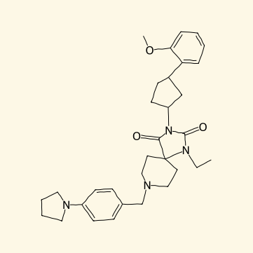 CCN1C(=O)N(C2CCC(c3ccccc3OC)C2)C(=O)C12CCN(Cc1ccc(N3CCCC3)cc1)CC2